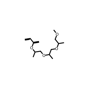 C=CC(=C)OC(C)COC(C)COC(C)COC